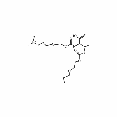 CCCOCCOC(=O)OC(C)C(NC(=O)OCCOCCO[N+](=O)[O-])C(=O)O